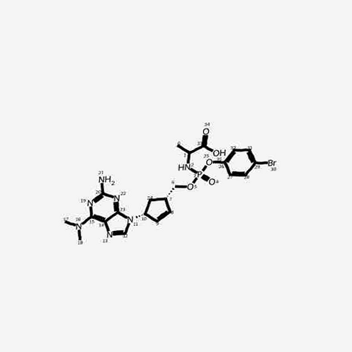 CC(NP(=O)(OC[C@@H]1C=C[C@H](n2cnc3c(N(C)C)nc(N)nc32)C1)Oc1ccc(Br)cc1)C(=O)O